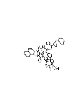 C[C@H](NC(=O)[C@@H](N)CC(=O)OCc1ccccc1)C(=O)NCc1cccc2ccccc12.O=C(O)C(F)(F)F